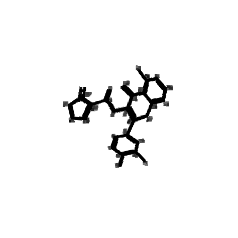 C=C(CC1=C(c2ccc(C)c(C)c2)Cc2cccc(C)c2C1=C)c1ccc[nH]1